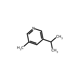 Cc1[c]ncc(C(C)C)c1